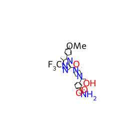 COc1ccc(-c2nc3c(C(=O)N4CCN(C(CO)c5cccc(S(N)(=O)=O)c5)C[C@H]4C)cnn3c(C(F)(F)F)c2C)cc1